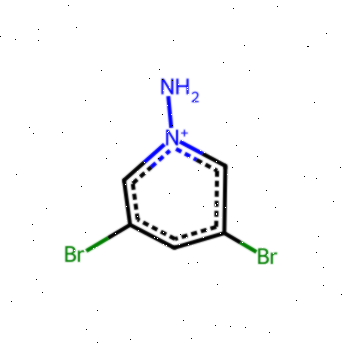 N[n+]1cc(Br)cc(Br)c1